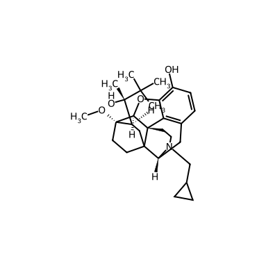 CO[C@@]12CCC3(C[C@@H]1[C@](C)(O)C(C)(C)C)[C@H]1Cc4ccc(O)c5c4[C@@]3(CCN1CC1CC1)[C@@H]2O5